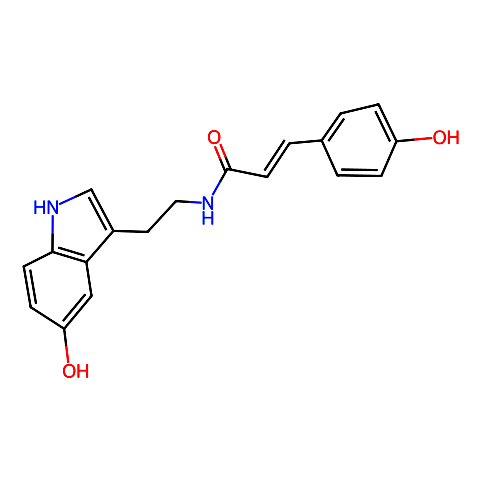 O=C(C=Cc1ccc(O)cc1)NCCc1c[nH]c2ccc(O)cc12